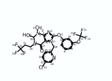 CN1c2nc(Oc3cccc(OC(F)(F)F)c3)n(Cc3ccc(Cl)cn3)c2C(=O)N(CCC(F)(F)F)C1O